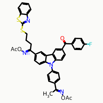 CC(=O)ON=C(C)c1ccc(-n2c3ccc(C(=O)c4ccc(F)cc4)cc3c3cc(/C(CCCSc4nc5ccccc5s4)=N/OC(C)=O)ccc32)cc1